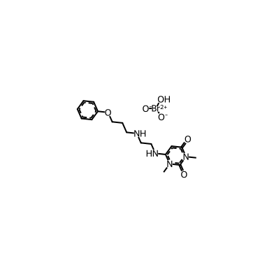 Cn1c(NCCNCCCOc2ccccc2)cc(=O)n(C)c1=O.[O-][Br+2]([O-])O